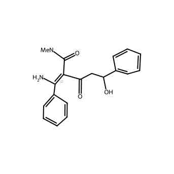 CNC(=O)/C(C(=O)CC(O)c1ccccc1)=C(\N)c1ccccc1